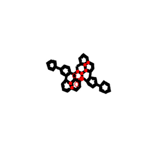 O=C1OC2C(O1)C1c3ccccc3C2C2C(c3ccc(-c4ccccc4)cc3-c3ccccc3)=c3ccccc3=C(c3ccc(-c4ccccc4)cc3-c3ccccc3)C21